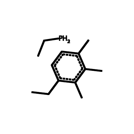 CCP.CCc1ccc(C)c(C)c1C